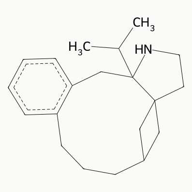 CC(C)C12Cc3ccccc3CCCC3CC1(CCN2)C3